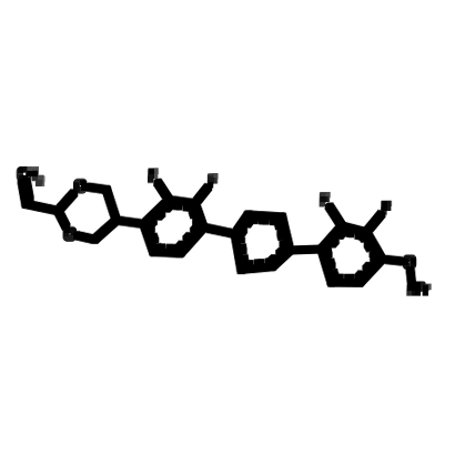 C=CC1OCC(c2ccc(-c3ccc(-c4ccc(OCCC)c(F)c4F)cc3)c(F)c2F)CO1